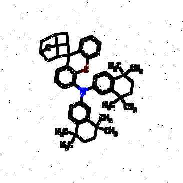 CC1(C)CCC(C)(C)c2cc(N(c3ccc4c(c3)C(C)(C)CCC4(C)C)c3cccc4c3Sc3ccccc3C43C4CC5CC6CC3C64C5)ccc21